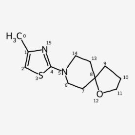 Cc1csc(N2CCC3(CCCO3)CC2)n1